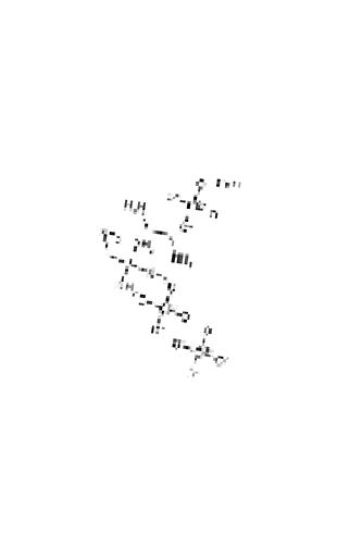 NCC(N)(N)N.NCCN.[Co+3].[O-][Cl+3]([O-])([O-])[O-].[O-][Cl+3]([O-])([O-])[O-].[O-][Cl+3]([O-])([O-])[O-]